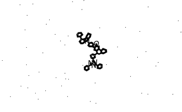 c1ccc(-c2nc(-c3ccccc3)nc(-c3cccc(C4Cc5ccccc5-c5cc6oc7cc(-n8c9ccccc9c9c(-c%10ccccc%10)cccc98)ccc7c6cc54)c3)n2)cc1